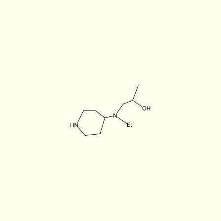 CCN(CC(C)O)C1CCNCC1